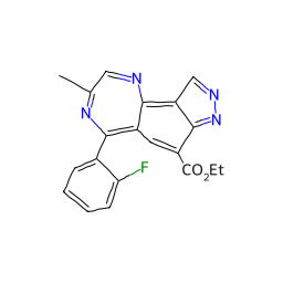 CCOC(=O)c1cc2c(-c3ccccc3F)nc(C)cnc2c2cnnc12